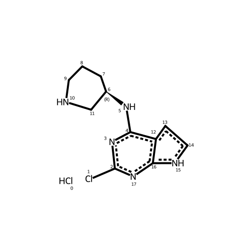 Cl.Clc1nc(N[C@@H]2CCCNC2)c2cc[nH]c2n1